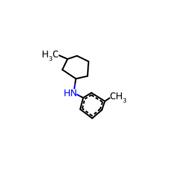 Cc1cccc(NC2CCCC(C)C2)c1